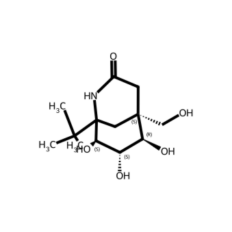 CC(C)(C)C12C[C@@](CO)(CC(=O)N1)[C@@H](O)[C@H](O)[C@H]2O